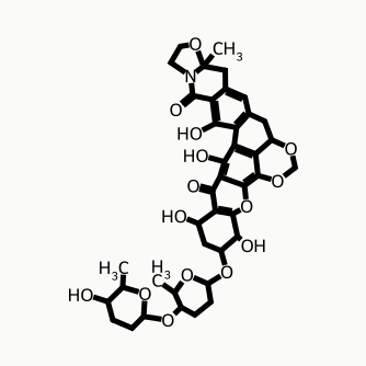 CC1OC(OC2CCC(OC3CC(O)c4c(oc5c6c7c(c(O)c5c4=O)-c4c(cc5c(c4O)C(=O)N4CCOC4(C)C5)CC7OCO6)C3O)OC2C)CCC1O